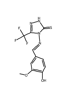 COc1cc(C=Nn2c(C(F)(F)F)n[nH]c2=S)ccc1O